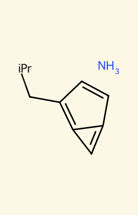 CC(C)Cc1ccc2cc1-2.N